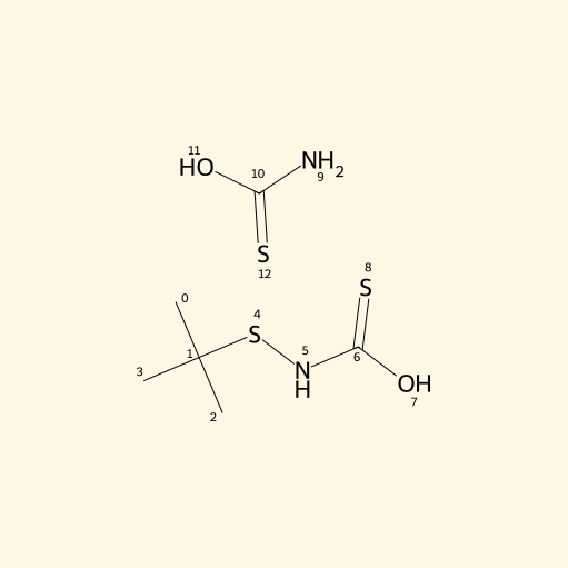 CC(C)(C)SNC(O)=S.NC(O)=S